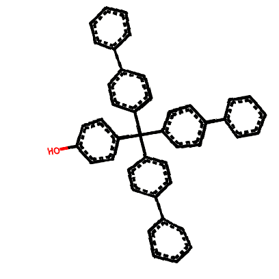 Oc1ccc(C(c2ccc(-c3ccccc3)cc2)(c2ccc(-c3ccccc3)cc2)c2ccc(-c3ccccc3)cc2)cc1